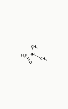 CNC.O=[PH3]